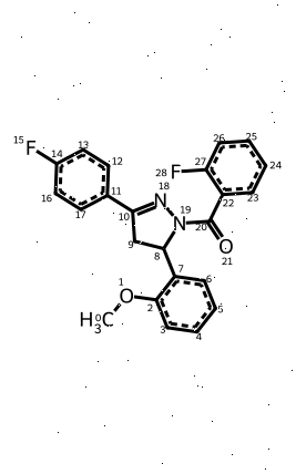 COc1ccccc1C1CC(c2ccc(F)cc2)=NN1C(=O)c1ccccc1F